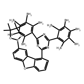 Bc1c(B)c(B)c(-c2nc(-c3c(B)c(B)c(B)c(B)c3B)nc(-c3cccc4oc5ccc(B6OC(C)(C)C(C)(C)O6)cc5c34)n2)c(B)c1B